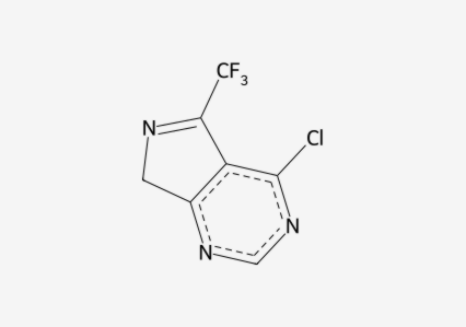 FC(F)(F)C1=NCc2ncnc(Cl)c21